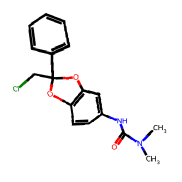 CN(C)C(=O)Nc1ccc2c(c1)OC(CCl)(c1ccccc1)O2